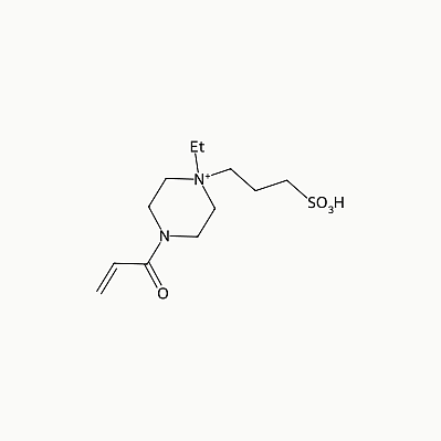 C=CC(=O)N1CC[N+](CC)(CCCS(=O)(=O)O)CC1